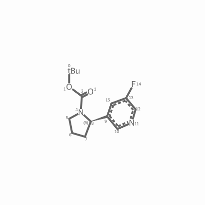 CC(C)(C)OC(=O)N1CCC[C@@H]1c1cncc(F)c1